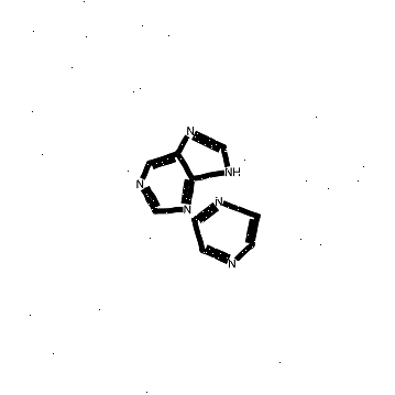 c1cnccn1.c1ncc2nc[nH]c2n1